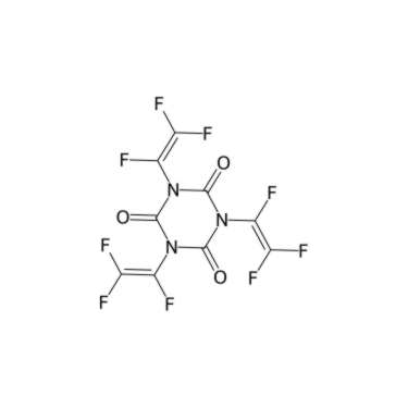 O=c1n(C(F)=C(F)F)c(=O)n(C(F)=C(F)F)c(=O)n1C(F)=C(F)F